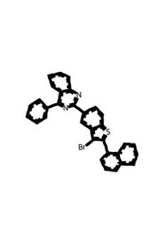 Brc1c(-c2cccc3ccccc23)sc2ccc(-c3nc(-c4ccccc4)c4ccccc4n3)cc12